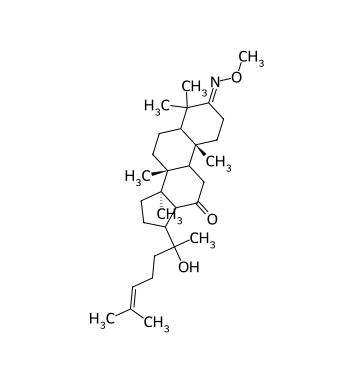 CO/N=C1\CC[C@@]2(C)C(CC[C@]3(C)C2CC(=O)C2C(C(C)(O)CCC=C(C)C)CC[C@]23C)C1(C)C